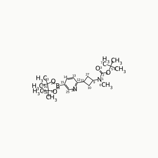 CN(C(=O)OC(C)(C)C)C1CC(c2ccc(B3OC(C)(C)C(C)(C)O3)cn2)C1